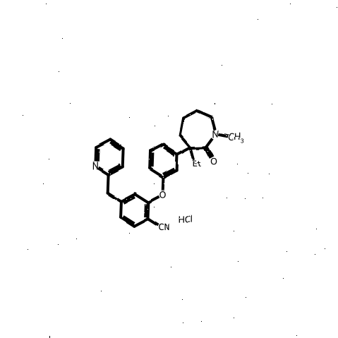 CCC1(c2cccc(Oc3cc(Cc4ccccn4)ccc3C#N)c2)CCCCN(C)C1=O.Cl